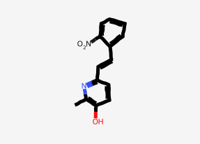 Cc1nc(C=Cc2ccccc2[N+](=O)[O-])ccc1O